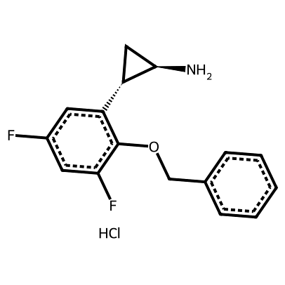 Cl.N[C@@H]1C[C@H]1c1cc(F)cc(F)c1OCc1ccccc1